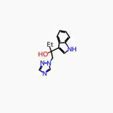 CCC(O)(Cn1cncn1)c1c[nH]c2ccccc12